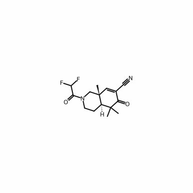 CC1(C)C(=O)C(C#N)=C[C@@]2(C)CN(C(=O)C(F)F)CC[C@H]12